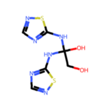 OCC(O)(Nc1ncns1)Nc1ncns1